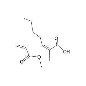 C=CC(=O)OC.CCCCC=C(C)C(=O)O